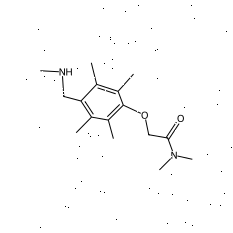 CNCc1c(C)c(C)c(OCC(=O)N(C)C)c(C)c1C